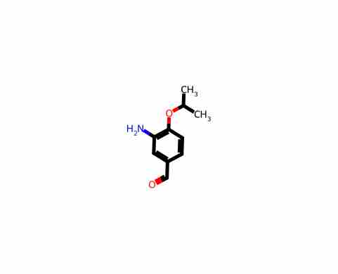 CC(C)Oc1ccc(C=O)cc1N